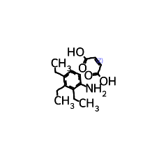 CCc1ccc(N)c(CC)c1CC.O=C(O)/C=C\C(=O)O